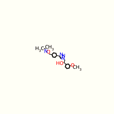 COc1cccc([C@H](O)Cn2cc(-c3ccc(CON=C(C)C)cc3)nn2)c1